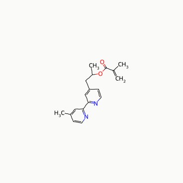 C=C(C)C(=O)OC(C)Cc1ccnc(-c2cc(C)ccn2)c1